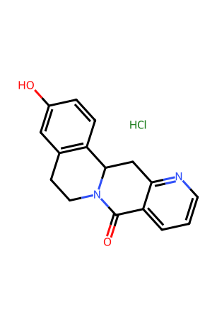 Cl.O=C1c2cccnc2CC2c3ccc(O)cc3CCN12